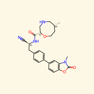 C[C@@H]1CCO[C@H](C(=O)N[C@H](C#N)Cc2ccc(-c3ccc4oc(=O)n(C)c4c3)cc2)CNC1